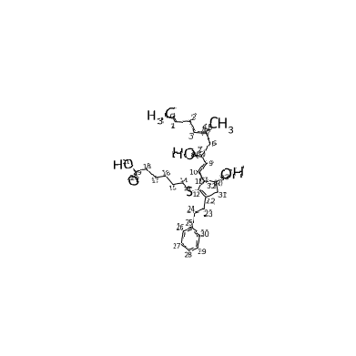 CCCC[C@@H](C)C[C@H](O)C=C[C@@H]1C(SCCCCCC(=O)O)=C(CCc2ccccc2)C[C@H]1O